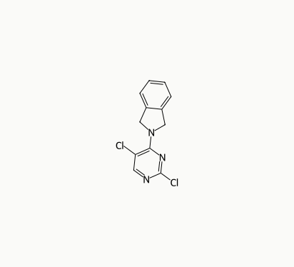 Clc1ncc(Cl)c(N2Cc3ccccc3C2)n1